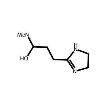 CNC(O)CCC1=NCCN1